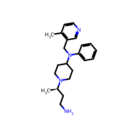 Cc1ccncc1CN(c1ccccc1)C1CCN([C@H](C)CCN)CC1